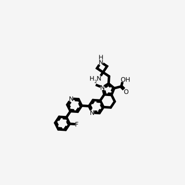 Cn1c(CC2(N)CNC2)c(C(=O)O)c2c1-c1cc(-c3cncc(-c4ccccc4F)c3)ncc1CC2